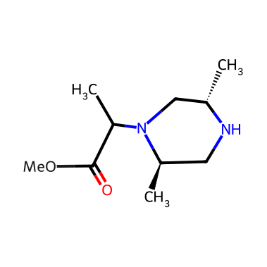 COC(=O)C(C)N1C[C@H](C)NC[C@H]1C